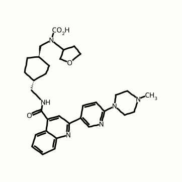 CN1CCN(c2ccc(-c3cc(C(=O)NC[C@H]4CC[C@H](CN(C(=O)O)C5CCOC5)CC4)c4ccccc4n3)cn2)CC1